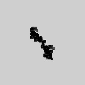 Bc1cc(C(=O)CCC(=O)N2CCC(N3CCc4cc(OC)ccc4NC3=O)CC2)cc2nc(NC(N)=O)[nH]c12